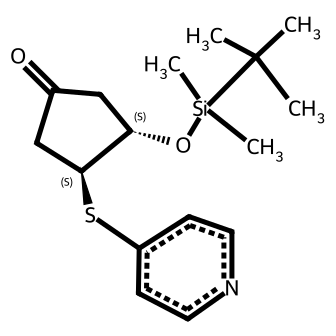 CC(C)(C)[Si](C)(C)O[C@H]1CC(=O)C[C@@H]1Sc1ccncc1